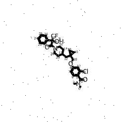 CN(C)C(=O)c1ccc(OCC2(CC3CCN(C(=O)C(O)(c4ccccc4)C(F)(F)F)CC3)CC2)cc1Cl